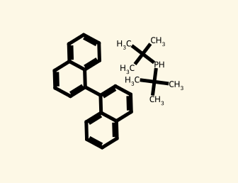 CC(C)(C)PC(C)(C)C.c1ccc2c(-c3cccc4ccccc34)cccc2c1